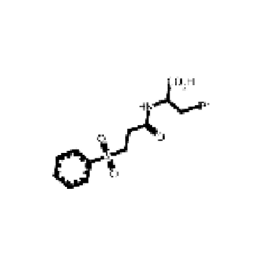 CC(C)CC(NC(=O)CCS(=O)(=O)c1ccccc1)C(=O)O